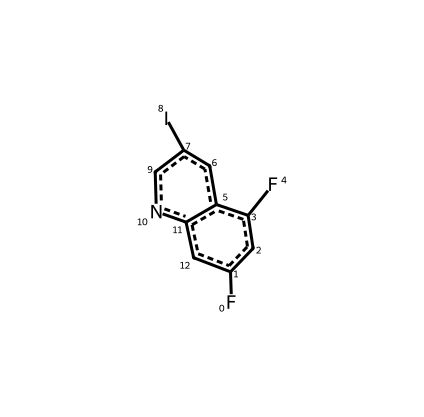 Fc1cc(F)c2cc(I)cnc2c1